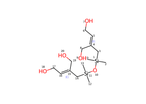 C[Si](C)(C/C(=C/CO)CO)O[Si](C)(C)C/C(=C/CO)CO